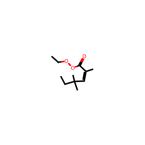 C[CH]OOC(=O)/C(C)=C\C(C)(C)CC